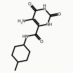 CC1CCC(NC(=O)c2[nH]c(=O)[nH]c(=O)c2N)CC1